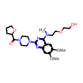 COc1cc2nc(N3CCN(C(=O)C4CCCO4)CC3)nc(N(C)CCOCCO)c2cc1OC